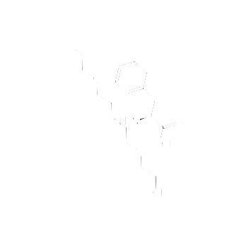 N[C@@H](Cc1ccccc1)C(=O)O.OCCOCCOCCOCCO